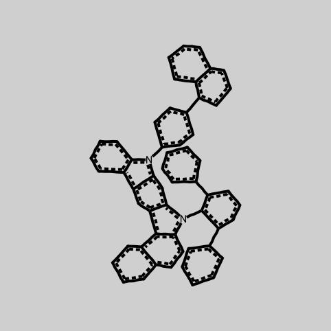 c1ccc(-c2cccc(-c3ccccc3)c2-n2c3cc4c(cc3c3c5ccccc5ccc32)c2ccccc2n4-c2ccc(-c3cccc4ccccc34)cc2)cc1